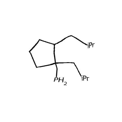 CC(C)CC1CCCC1(P)CC(C)C